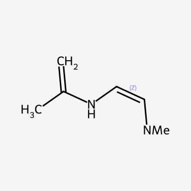 C=C(C)N/C=C\NC